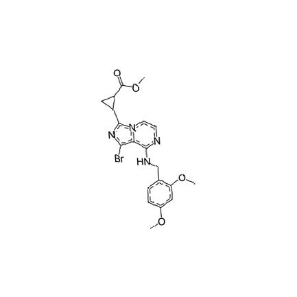 COC(=O)C1CC1c1nc(Br)c2c(NCc3ccc(OC)cc3OC)nccn12